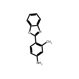 Cc1cc(N)ccc1-c1nc2ccccc2o1